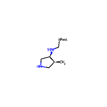 CCCCCCN[C@@H]1CNC[C@@H]1C